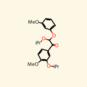 COc1cccc(OC(OC(C)C)C(=O)c2ccc(OC)c(OC(C)C)c2)c1